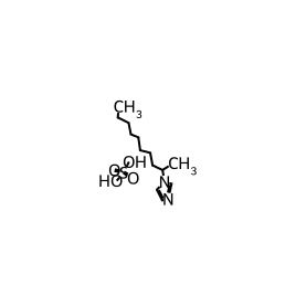 CCCCCCCCC(C)n1ccnc1.O=S(=O)(O)O